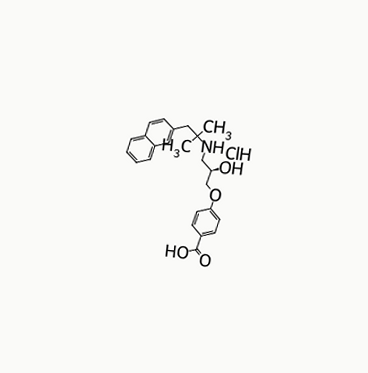 CC(C)(Cc1ccc2ccccc2c1)NC[C@@H](O)COc1ccc(C(=O)O)cc1.Cl